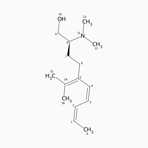 C/C=C\C=C/C(CC[C@@H](CO)N(C)C)=C(C)C